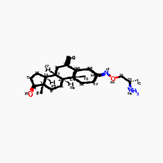 C=C1C[C@@H]2[C@H](CC[C@]3(C)C(=O)CC[C@@H]23)[C@@]2(C)CCC(=NOC[C@H](C)N)CC12